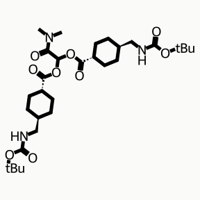 CN(C)C(=O)C(OC(=O)[C@H]1CC[C@H](CNC(=O)OC(C)(C)C)CC1)OC(=O)[C@H]1CC[C@H](CNC(=O)OC(C)(C)C)CC1